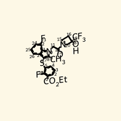 CCOC(=O)c1cccc(Sc2c(C)n(CC(=O)N3CCC(O)(C(F)(F)F)C3)c3c(F)cccc23)c1F